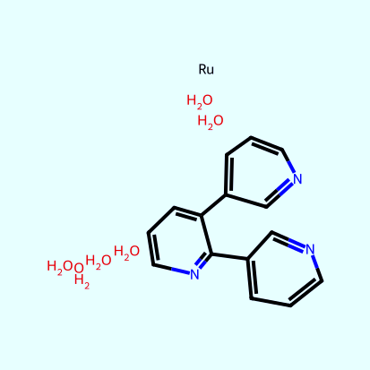 O.O.O.O.O.O.[Ru].c1cncc(-c2cccnc2-c2cccnc2)c1